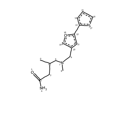 CC(CC(N)=O)CN(C)Cc1cc(-c2cccs2)on1